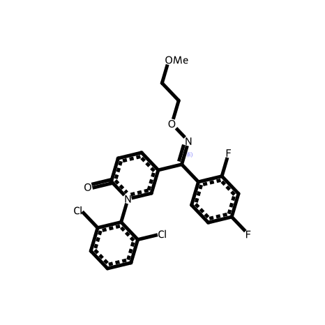 COCCO/N=C(\c1ccc(=O)n(-c2c(Cl)cccc2Cl)c1)c1ccc(F)cc1F